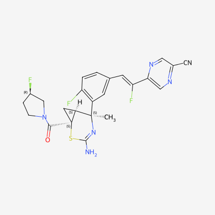 C[C@]1(c2cc(C=C(F)c3cnc(C#N)cn3)ccc2F)N=C(N)S[C@@]2(C(=O)N3CC[C@@H](F)C3)C[C@H]21